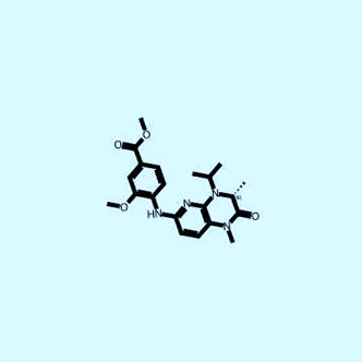 COC(=O)c1ccc(Nc2ccc3c(n2)N(C(C)C)[C@H](C)C(=O)N3C)c(OC)c1